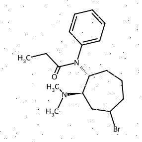 CCC(=O)N(c1ccccc1)[C@@H]1CCCC(Br)C[C@H]1N(C)C